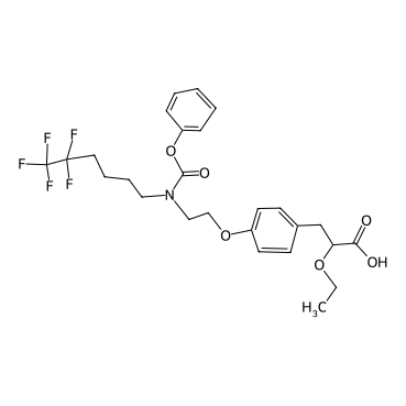 CCOC(Cc1ccc(OCCN(CCCCC(F)(F)C(F)(F)F)C(=O)Oc2ccccc2)cc1)C(=O)O